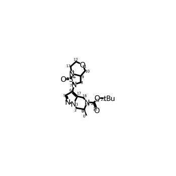 C[C@H]1Cn2ncc(N3CC4COCCN4[S+]3[O-])c2CN1C(=O)OC(C)(C)C